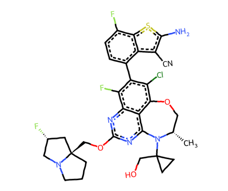 C[C@H]1COc2c(Cl)c(-c3ccc(F)c4sc(N)c(C#N)c34)c(F)c3nc(OC[C@@]45CCCN4C[C@H](F)C5)nc(c23)N1C1(CO)CC1